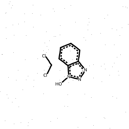 ClCCl.On1nnc2ccccc21